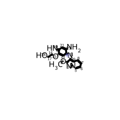 COc1nn2ccccc2c1/N=C1\C=C(OCCO)C(=N)C=C1N